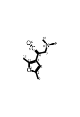 Cc1cc(C(=C=O)CN(C)C)c(C)o1